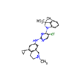 CN1CCc2c(cc(Nc3ncc(Cl)c(N4CC(C)(C(=O)O)c5ccccc54)n3)cc2C2CC2)C1